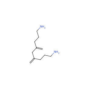 C=C(CCCN)CC(=C)CCCN